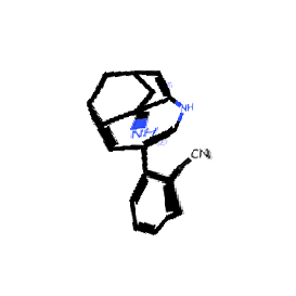 N#Cc1ccccc1/C1=C/N/C(C=N)=C/C2CCC(=C1)CC2